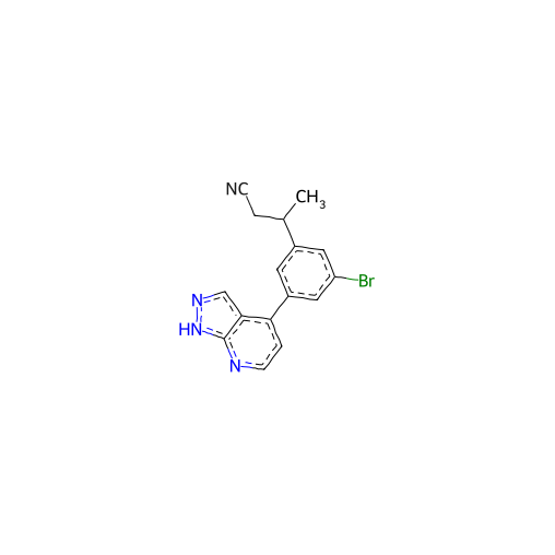 CC(CC#N)c1cc(Br)cc(-c2ccnc3[nH]ncc23)c1